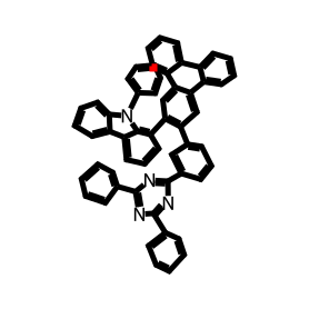 c1ccc(-c2nc(-c3ccccc3)nc(-c3cccc(-c4cc5c6ccccc6c6ccccc6c5cc4-c4cccc5c6ccccc6n(-c6ccccc6)c45)c3)n2)cc1